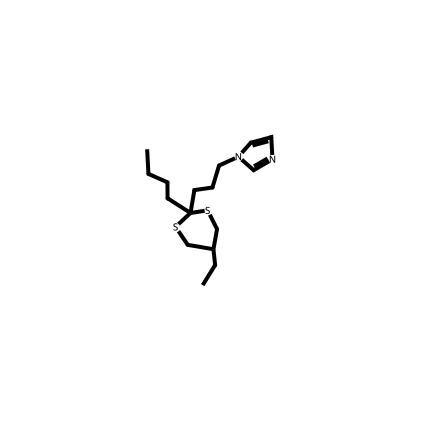 CCCCC1(CCCn2ccnc2)SCC(CC)CS1